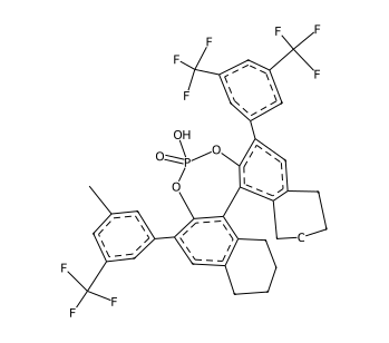 Cc1cc(-c2cc3c(c4c2OP(=O)(O)Oc2c(-c5cc(C(F)(F)F)cc(C(F)(F)F)c5)cc5c(c2-4)CCCC5)CCCC3)cc(C(F)(F)F)c1